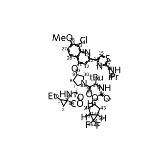 CCC1C[C@]1(NC(=O)[C@@H]1C[C@@H](Oc2cc(-c3csc(NC(C)C)n3)nc3c(Cl)c(OC)ccc23)CN1C(=O)C(NC(=O)O[C@H]1C[C@@H]2[C@H](C1)C2(F)F)C(C)(C)C)C(=O)O